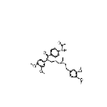 COc1ccc(CCN(C)CCCN(C(=O)c2ccc(NC(C)=O)cc2)c2ccc(OC)c(OC)c2)cc1OC